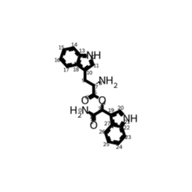 NC(=O)C(OC(=O)[C@@H](N)Cc1c[nH]c2ccccc12)c1c[nH]c2ccccc12